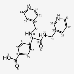 O=C(O)c1ccc(C(NCc2ccncc2)C(=O)NCc2cccnc2)cc1